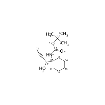 CC(C)(C)OC(=O)NC1(C(O)C#N)CCCCC1